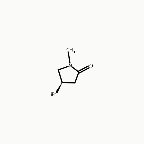 CC(C)[C@@H]1CC(=O)N(C)C1